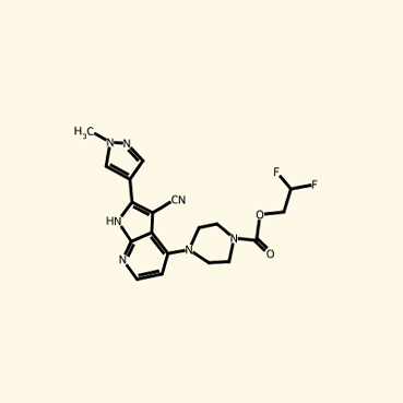 Cn1cc(-c2[nH]c3nccc(N4CCN(C(=O)OCC(F)F)CC4)c3c2C#N)cn1